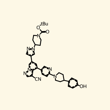 CC(C)(C)OC(=O)N1CCC(n2cc(-c3cc(-c4ccc(N5CCC(c6ccc(O)cc6)CC5)nc4)c4c(C#N)cnn4c3)cn2)CC1